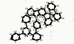 c1ccc(-c2nc(-c3ccccc3)nc(-c3ccccc3-c3ccc(-n4c5c(c6ccc7c(c64)-c4ccccc4C74c6ccccc6-c6ccccc64)C=CCC5)cc3)n2)cc#1